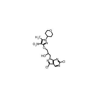 Cc1c([N+](=O)[O-])c(OCC(O)Cn2nc(Cl)c3cnc(Cl)nc32)nn1C1CCOCC1